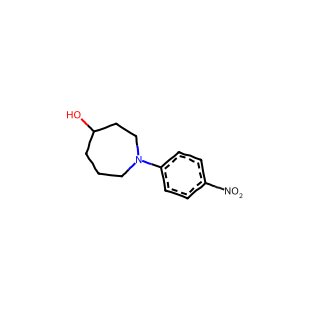 O=[N+]([O-])c1ccc(N2CCCC(O)CC2)cc1